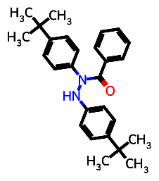 CC(C)(C)c1ccc(NN(C(=O)c2ccccc2)c2ccc(C(C)(C)C)cc2)cc1